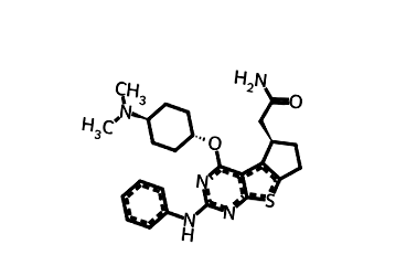 CN(C)[C@H]1CC[C@H](Oc2nc(Nc3ccccc3)nc3sc4c(c23)[C@@H](CC(N)=O)CC4)CC1